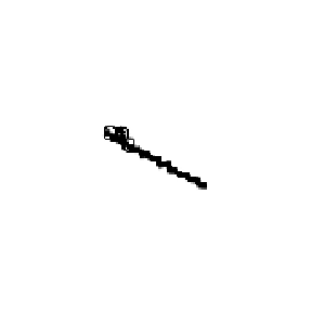 CCCCCCCCCCCCCCCCOCC(COC)OC